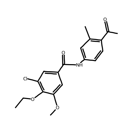 CCOc1c(Cl)cc(C(=O)Nc2ccc(C(C)=O)c(C)c2)cc1OC